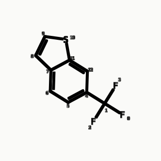 FC(F)(F)c1ccc2ccsc2c1